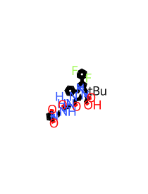 CC(C)(C)[C@H](c1cc(-c2cc(F)ccc2F)cn1Cc1ccccc1)N(CC[C@H](N)C(=O)NCC(=O)NCCN1C(=O)C=CC1=O)C(=O)CO